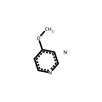 COc1ccncc1.[N]